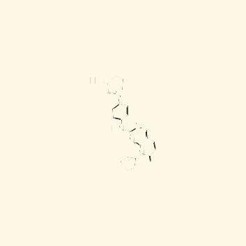 O=c1ccc2cnc(Nc3ccc(N4CCCC(O)C4)cc3)nc2n1C1CCCC1